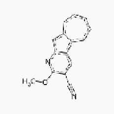 COc1nc2cc3cccccc-3c2cc1C#N